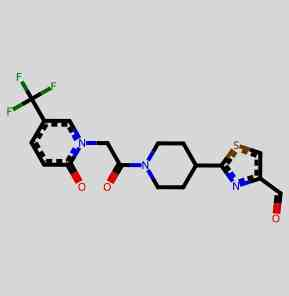 O=Cc1csc(C2CCN(C(=O)Cn3cc(C(F)(F)F)ccc3=O)CC2)n1